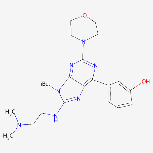 CCC(C)n1c(NCCN(C)C)nc2c(-c3cccc(O)c3)nc(N3CCOCC3)nc21